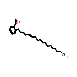 CCCCCCCCCCCCCCCCCCc1ccccc1C1CO1